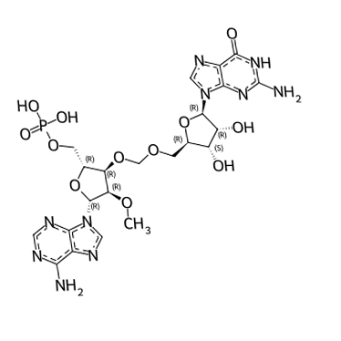 CO[C@@H]1[C@H](OCOC[C@H]2O[C@@H](n3cnc4c(=O)[nH]c(N)nc43)[C@H](O)[C@@H]2O)[C@@H](COP(=O)(O)O)O[C@H]1n1cnc2c(N)ncnc21